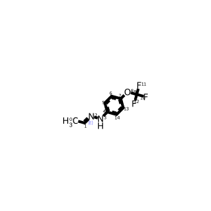 C/C=N/Nc1ccc(OC(F)(F)F)cc1